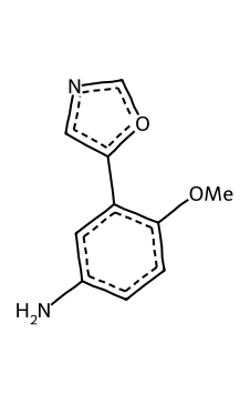 COc1ccc(N)cc1-c1cnco1